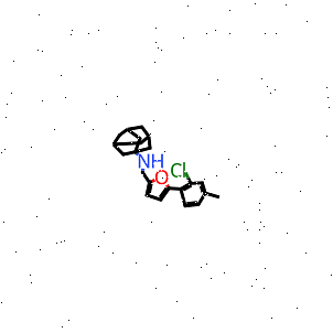 Cc1ccc(-c2ccc(CNC34CC5CC(CC(C5)C3)C4)o2)c(Cl)c1